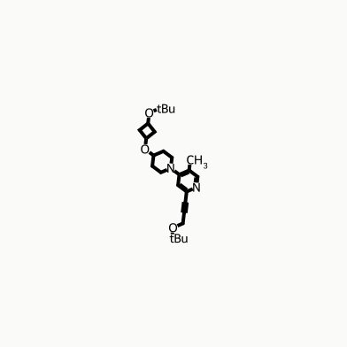 Cc1cnc(C#CCOC(C)(C)C)cc1N1CCC(OC2CC(OC(C)(C)C)C2)CC1